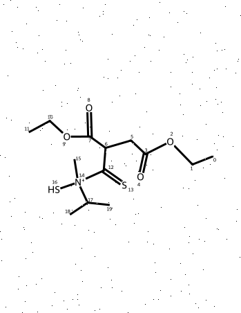 CCOC(=O)CC(C(=O)OCC)C(=S)[N+](C)(S)C(C)C